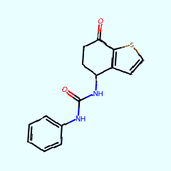 O=C(Nc1ccccc1)NC1CCC(=O)c2sccc21